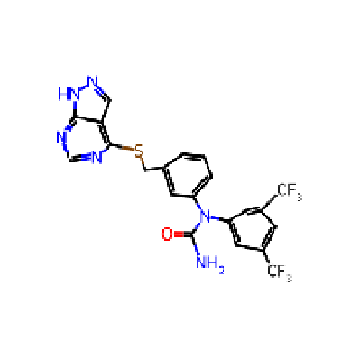 NC(=O)N(c1cccc(CSc2ncnc3[nH]ncc23)c1)c1cc(C(F)(F)F)cc(C(F)(F)F)c1